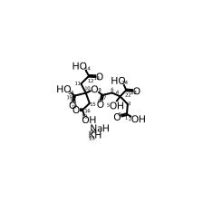 O=C(O)CC(O)(CC(=O)OC(CC(=O)O)(CC(=O)O)C(=O)O)C(=O)O.[KH].[NaH]